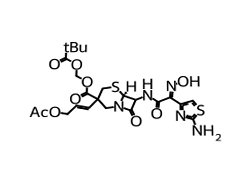 CC(=O)OCC=CC1(C(=O)OCOC(=O)C(C)(C)C)CS[C@@H]2C(NC(=O)C(=NO)c3csc(N)n3)C(=O)N2C1